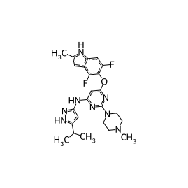 Cc1cc2c(F)c(Oc3cc(Nc4cc(C(C)C)[nH]n4)nc(N4CCN(C)CC4)n3)c(F)cc2[nH]1